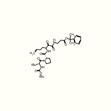 C=CCCC(NC(=O)[C@@H]1CCCN1C(=O)[C@@H](NC(=O)OC(C)(C)C)C(C)(C)C)C(=O)C(=O)NCCC(=O)OC(C)(C)c1ccccc1